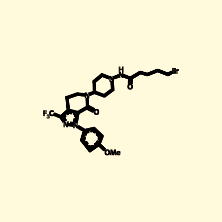 COc1ccc(-n2nc(C(F)(F)F)c3c2C(=O)N(C2CCN(NC(=O)CCCCBr)CC2)CC3)cc1